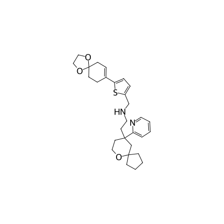 C1=C(c2ccc(CNCCC3(c4ccccn4)CCOC4(CCCC4)C3)s2)CCC2(C1)OCCO2